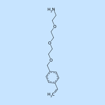 C=Cc1ccc(COCCOCCOCCN)cc1